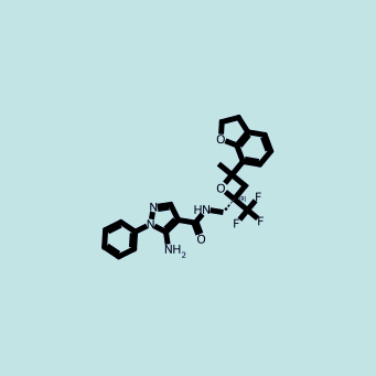 CC1(c2cccc3c2OCC3)C[C@@](CNC(=O)c2cnn(-c3ccccc3)c2N)(C(F)(F)F)O1